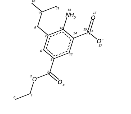 CCOC(=O)c1cc(CC(C)C)c(N)c([N+](=O)[O-])c1